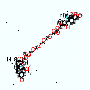 CCC[C@H](O)[C@@]1(F)[C@H]([C@@H]2C[C@@H](C)[C@](O)(C(=O)COC(=O)OCCOCCOCCOCCOCCOC(=O)OCC(=O)[C@@]3(O)[C@H](C)C[C@H]4[C@@H]5CCC6=CC(=O)C=C[C@]6(C)[C@@]5(F)[C@@H](O)C[C@@]43C)C2)CCC2=CC(=O)C=C[C@@]21C